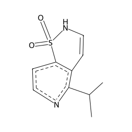 CC(C)c1nccc2c1C=CNS2(=O)=O